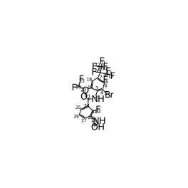 O=C(Nc1c(Br)cc(C(F)(C(F)(F)F)C(F)(F)F)cc1OC(F)F)c1cccc(NO)c1F